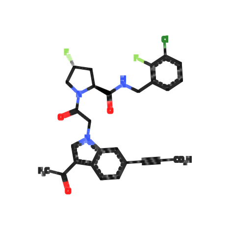 O=C(O)C#Cc1ccc2c(C(=O)C(F)(F)F)cn(CC(=O)N3C[C@H](F)C[C@H]3C(=O)NCc3cccc(Cl)c3F)c2c1